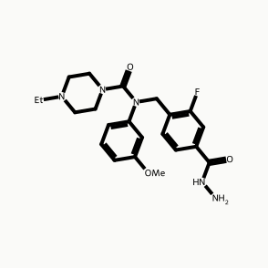 CCN1CCN(C(=O)N(Cc2ccc(C(=O)NN)cc2F)c2cccc(OC)c2)CC1